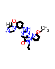 C=CCn1c(=O)c2cnc(Nc3ccc4c(c3)N3CCN(C)C[C@H]3CO4)nc2n1-c1cccc(OCC(F)(F)F)n1